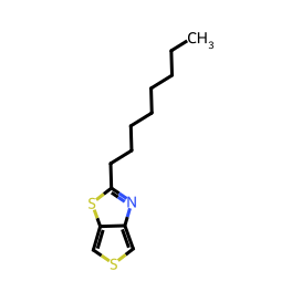 CCCCCCCCc1nc2cscc2s1